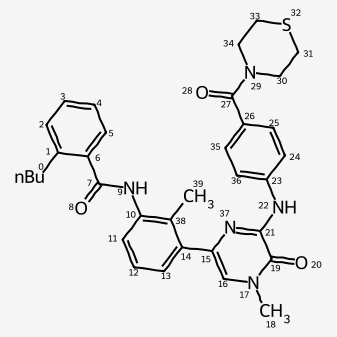 CCCCc1ccccc1C(=O)Nc1cccc(-c2cn(C)c(=O)c(Nc3ccc(C(=O)N4CCSCC4)cc3)n2)c1C